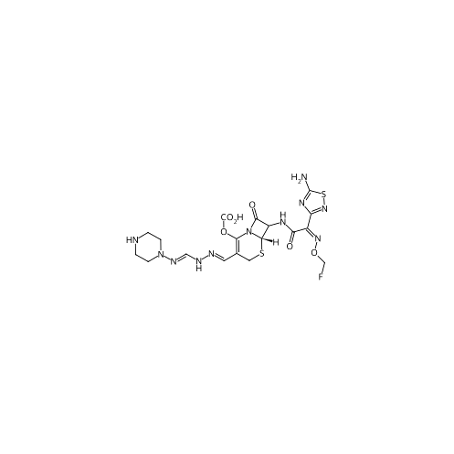 Nc1nc(/C(=N/OCF)C(=O)NC2C(=O)N3C(OC(=O)O)=C(C=NNC=NN4CCNCC4)CS[C@@H]23)ns1